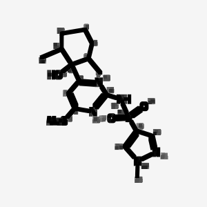 CSc1cc(C2(O)C(C)CCCC2C)nc(NS(=O)(=O)c2cnn(C)c2)n1